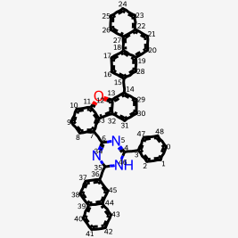 c1ccc(C2=NC(c3cccc4oc5c(-c6ccc7c(ccc8ccccc87)c6)cccc5c34)=NC(c3ccc4ccccc4c3)N2)cc1